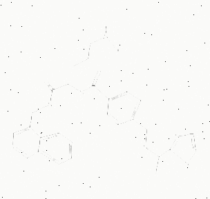 CCCN(CCC)CCC[C@H](NC(=O)c1ccc(CNC(CC)c2ncc[nH]2)cc1)C(=O)N[C@@H](C)c1cccc2ccccc12